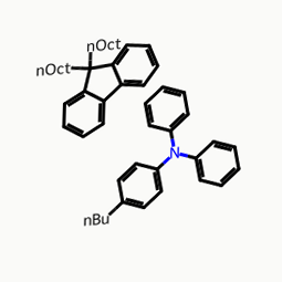 CCCCCCCCC1(CCCCCCCC)c2ccccc2-c2ccccc21.CCCCc1ccc(N(c2ccccc2)c2ccccc2)cc1